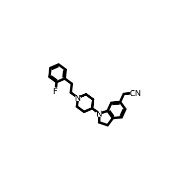 N#CCc1ccc2c(c1)N(C1CCN(CCc3ccccc3F)CC1)CC2